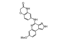 COc1ccc2c(c1)nc(Nc1ccc3c(c1)NC(=O)CO3)c1n[nH]cc12